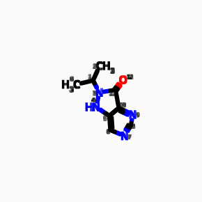 CC(C)n1[nH]c2cncnc2c1=O